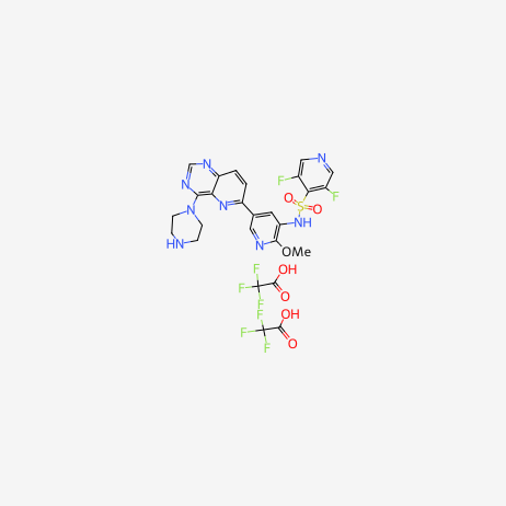 COc1ncc(-c2ccc3ncnc(N4CCNCC4)c3n2)cc1NS(=O)(=O)c1c(F)cncc1F.O=C(O)C(F)(F)F.O=C(O)C(F)(F)F